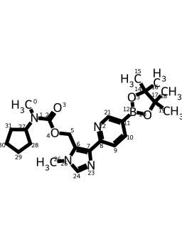 CN(C(=O)OCc1c(-c2ccc(B3OC(C)(C)C(C)(C)O3)cn2)ncn1C)C1CCCC1